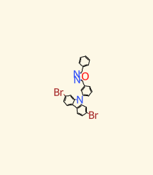 Brc1ccc2c3ccc(Br)cc3n(-c3cccc(-c4nnc(-c5ccccc5)o4)c3)c2c1